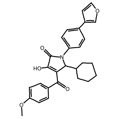 COc1ccc(C(=O)C2=C(O)C(=O)N(c3ccc(-c4ccoc4)cc3)C2C2CCCCC2)cc1